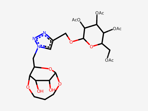 CC(=O)OCC1OC(OCc2cn(CC3OC4OCCCOC3C(O)C4O)nn2)C(OC(C)=O)C(OC(C)=O)C1OC(C)=O